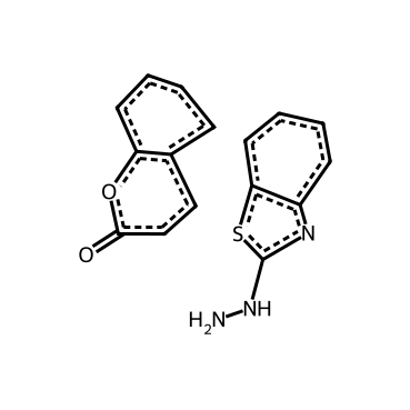 NNc1nc2ccccc2s1.O=c1ccc2ccccc2o1